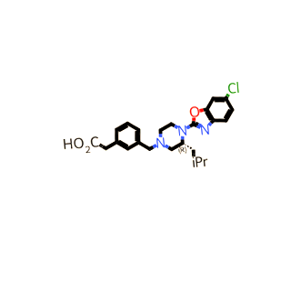 CC(C)C[C@@H]1CN(Cc2cccc(CC(=O)O)c2)CCN1c1nc2ccc(Cl)cc2o1